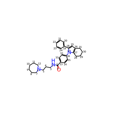 O=C(NCCCN1CCCCCC1)c1ccc(-n2c(-c3ccccc3)cc3c2CCCC3)cc1